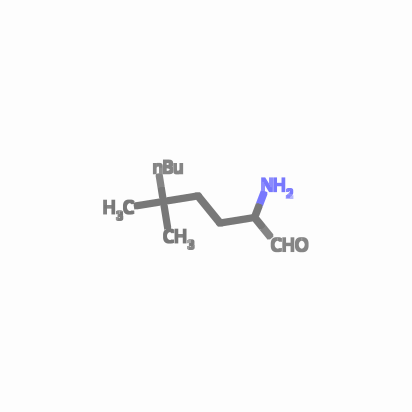 CCCCC(C)(C)CCC(N)C=O